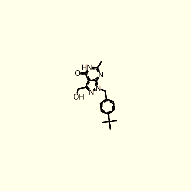 Cc1nc2c(c(CO)nn2Cc2ccc(C(C)(C)C)cc2)c(=O)[nH]1